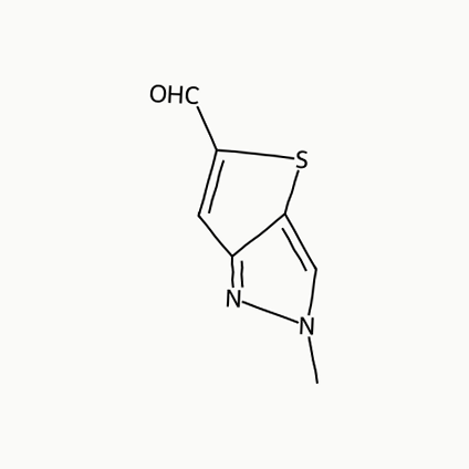 Cn1cc2sc(C=O)cc2n1